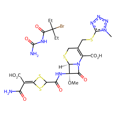 CCC(Br)(CC)C(=O)NC(N)=O.CO[C@@]1(NC(=O)C2SC(=C(C(N)=O)C(=O)O)S2)C(=O)N2C(C(=O)O)=C(CSc3nnnn3C)CS[C@@H]21